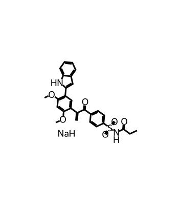 C=C(C(=O)c1ccc(S(=O)(=O)NC(=O)CC)cc1)c1cc(-c2cc3ccccc3[nH]2)c(OC)cc1OC.[NaH]